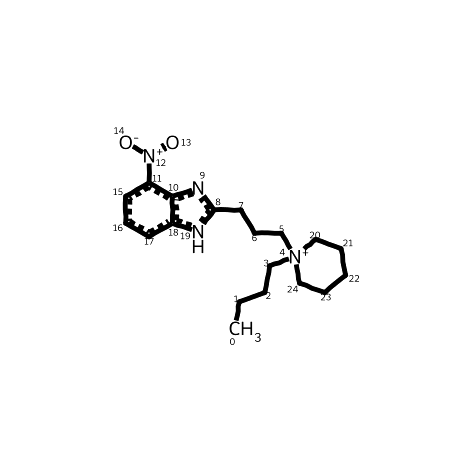 CCCC[N+]1(CCCc2nc3c([N+](=O)[O-])cccc3[nH]2)CCCCC1